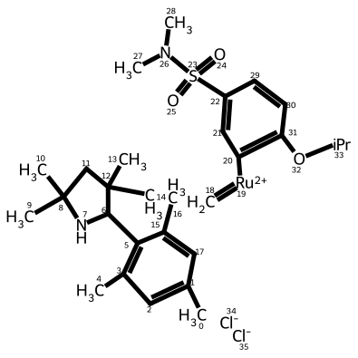 Cc1cc(C)c(C2NC(C)(C)CC2(C)C)c(C)c1.[CH2]=[Ru+2][c]1cc(S(=O)(=O)N(C)C)ccc1OC(C)C.[Cl-].[Cl-]